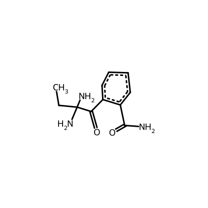 CCC(N)(N)C(=O)c1ccccc1C(N)=O